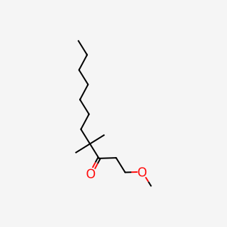 CCCCCCCC(C)(C)C(=O)CCOC